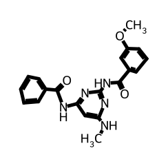 CNc1cc(NC(=O)c2ccccc2)nc(NC(=O)c2cccc(OC)c2)n1